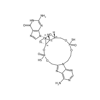 CO[C@H]1[C@H]2OP(=O)(S)OCc3nc4c(N)ncnc4n3CCOP(=O)(S)OC[C@H]1O[C@H]2n1cnc2c(=O)[nH]c(N)nc21